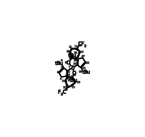 CC(C)(C)C1=CCC(C(C)(C)C)=[C]1[Zr]([O]c1ccc(C(F)(F)F)cc1)([O]c1ccc(C(F)(F)F)cc1)[C]1=C(C(C)(C)C)CC=C1C(C)(C)C